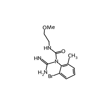 COCCNC(=O)N(C(=N)N)c1c(C)cccc1Br